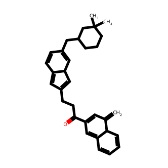 C=C1C=C(C(=O)CCC2=CC3C=C(CC4CCCC(C)(C)C4)C=CC3=C2)C=C2C=CC=CC12